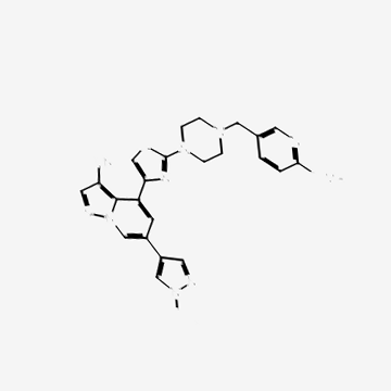 COc1ccc(CN2CCN(c3nc(-c4cc(-c5cnn(C)c5)cn5ncc(C#N)c45)cs3)CC2)cn1